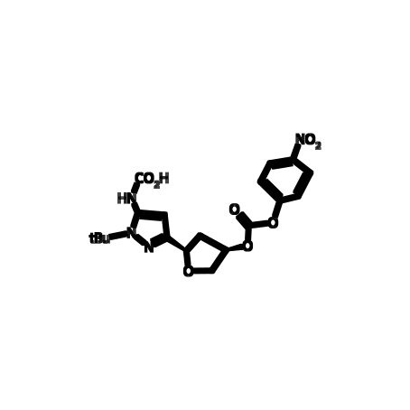 CC(C)(C)n1nc([C@H]2C[C@@H](OC(=O)Oc3ccc([N+](=O)[O-])cc3)CO2)cc1NC(=O)O